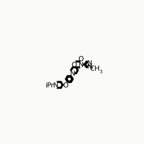 CC(C)N1CCC(Oc2ccc(N3CCC4(CC3)CN(c3cnn(C)c3)C(=O)CO4)cc2)CC1